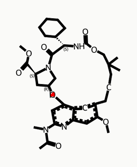 COC(=O)[C@@H]1C[C@@H]2CN1C(=O)[C@H](C1CCCCC1)NC(=O)OCC(C)(C)CCCc1cc3c(cc(N(C)C(C)=O)nc3cc1OC)O2